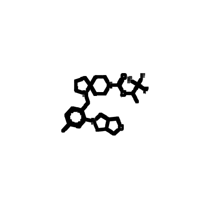 Cc1ccc(CN2CCCC23CCN(C(=O)OC(C)C(F)(F)F)CC3)c(N2CC3COCC3C2)c1